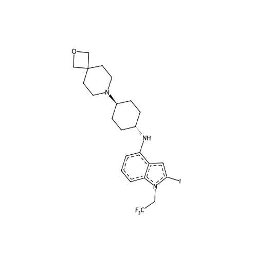 FC(F)(F)Cn1c(I)cc2c(N[C@H]3CC[C@H](N4CCC5(CC4)COC5)CC3)cccc21